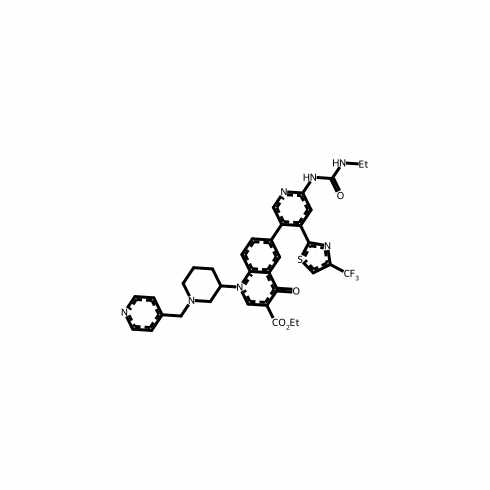 CCNC(=O)Nc1cc(-c2nc(C(F)(F)F)cs2)c(-c2ccc3c(c2)c(=O)c(C(=O)OCC)cn3C2CCCN(Cc3ccncc3)C2)cn1